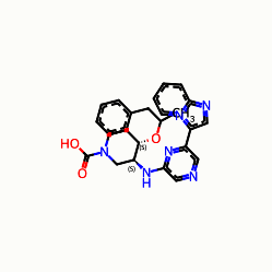 CC(Cc1ccccc1)O[C@H]1CCN(C(=O)O)C[C@@H]1Nc1cncc(-c2cnc3ccccn23)n1